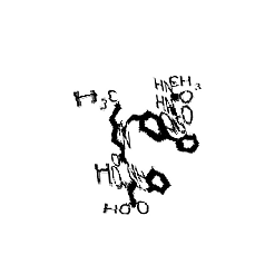 CCCc1cc(C(=O)N[C@H](Cc2ccccc2)[C@@H](O)C(=O)O)nn1Cc1ccc(-c2ccccc2S(=O)(=O)NC(=O)NC)cc1